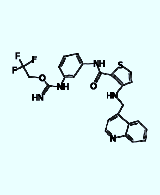 N=C(Nc1cccc(NC(=O)c2sccc2NCc2ccnc3ccccc23)c1)OCC(F)(F)F